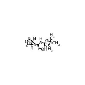 CC(C)(C)OC(=O)NC(CO)C1[C@H]2COC[C@@H]12